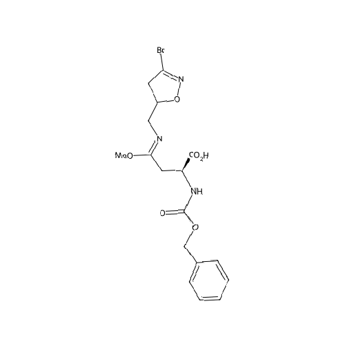 COC(C[C@H](NC(=O)OCc1ccccc1)C(=O)O)=NCC1CC(Br)=NO1